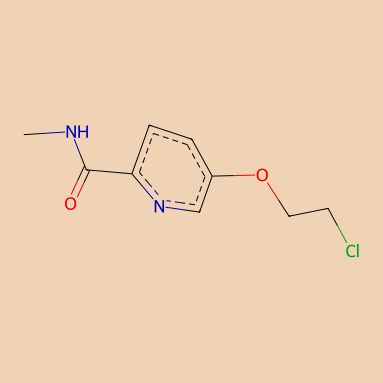 CNC(=O)c1ccc(OCCCl)cn1